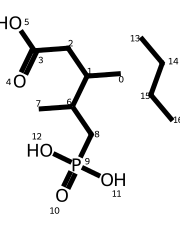 CC(CC(=O)O)C(C)CP(=O)(O)O.CCCC